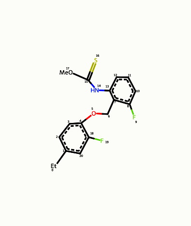 CCc1ccc(OCc2c(F)cccc2NC(=S)OC)c(F)c1